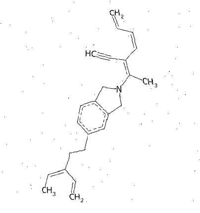 C#CC(/C=C\C=C)=C(/C)N1Cc2ccc(CC/C(C=C)=C/C)cc2C1